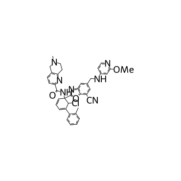 COc1cc(NCc2cc(C#N)c3oc(C4(NC(=O)c5ccc6c(n5)CCN(C)C6)C=CC=C(c5ccccc5C)C4Cl)nc3c2)ccn1